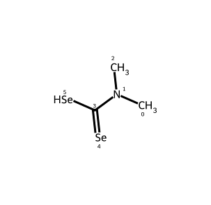 CN(C)C(=[Se])[SeH]